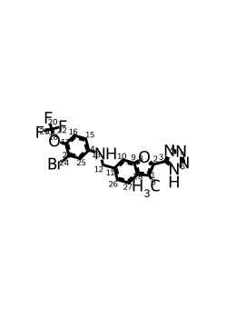 Cc1c(-c2nnn[nH]2)oc2cc(CNc3ccc(OC(F)(F)F)c(Br)c3)ccc12